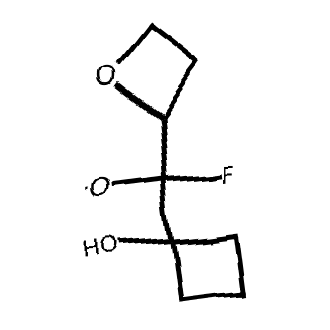 [O]C(F)(C1CCO1)C1(O)CCC1